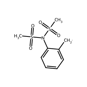 [CH2]c1ccccc1N(S(C)(=O)=O)S(C)(=O)=O